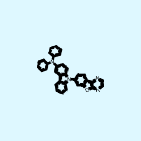 c1ccc(N(c2ccccc2)c2ccc3c(c2)c2ccccc2n3-c2ccc3c(c2)oc2nccnc23)cc1